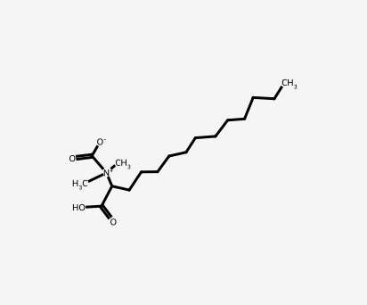 CCCCCCCCCCCCC(C(=O)O)[N+](C)(C)C(=O)[O-]